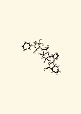 CC1(C)S[C@@H]2C(N3C(=O)C(c4ccccc4)NC3(C)C)C(=O)N2C1c1nnnn1C1OC(=O)c2ccccc21